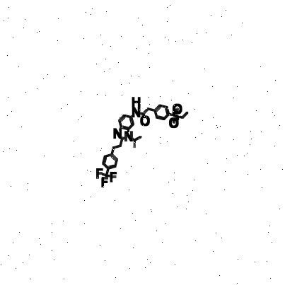 CCS(=O)(=O)c1ccc(CC(=O)Nc2ccc3nc(CCc4ccc(C(F)(F)F)cc4)n(C(C)C)c3c2)cc1